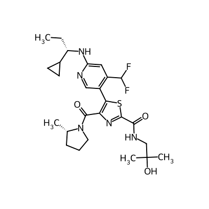 CC[C@H](Nc1cc(C(F)F)c(-c2sc(C(=O)NCC(C)(C)O)nc2C(=O)N2CCC[C@@H]2C)cn1)C1CC1